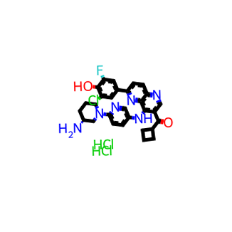 Cl.Cl.N[C@H]1CCCN(c2ccc(Nc3c(C(=O)C4CCC4)cnc4ccc(-c5cc(F)c(O)c(Cl)c5)nc34)cn2)C1